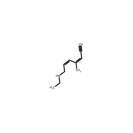 C#C/C=C(C)\C=C/CNCC